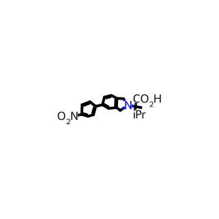 CC(C)C(C)(C(=O)O)N1Cc2ccc(-c3ccc([N+](=O)[O-])cc3)cc2C1